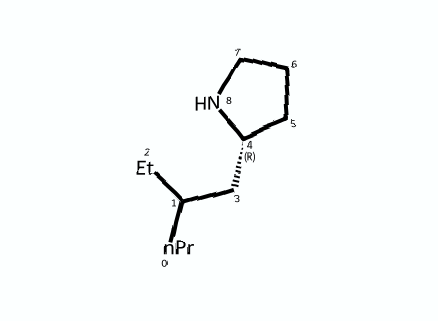 CCCC(CC)C[C@H]1CCCN1